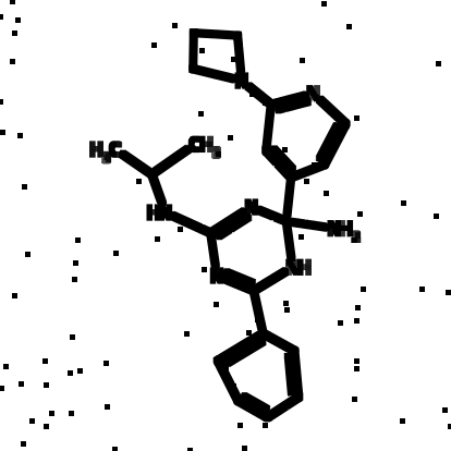 CC(C)NC1=NC(N)(c2ccnc(N3CCC3)c2)NC(c2ccccc2)=N1